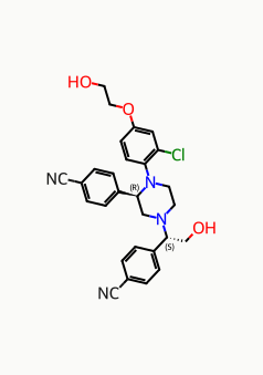 N#Cc1ccc([C@@H](CO)N2CCN(c3ccc(OCCO)cc3Cl)[C@H](c3ccc(C#N)cc3)C2)cc1